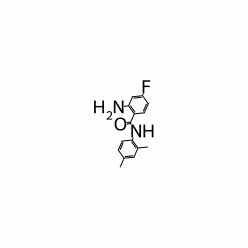 Cc1ccc(NC(=O)c2ccc(F)cc2N)c(C)c1